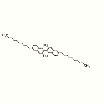 CCCCCCCCCCc1ccc2cc(-c3cc4ccc(CCCCCCCCCC)cc4cc3O)c(O)cc2c1